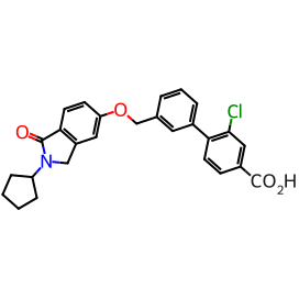 O=C(O)c1ccc(-c2cccc(COc3ccc4c(c3)CN(C3CCCC3)C4=O)c2)c(Cl)c1